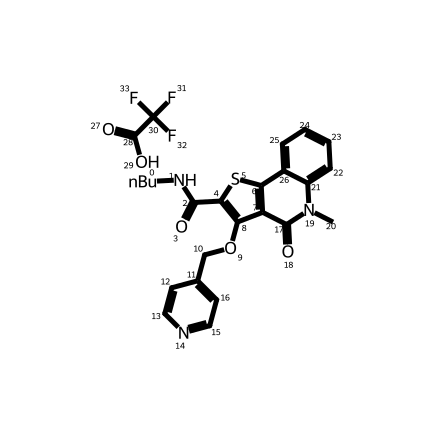 CCCCNC(=O)c1sc2c(c1OCc1ccncc1)c(=O)n(C)c1ccccc21.O=C(O)C(F)(F)F